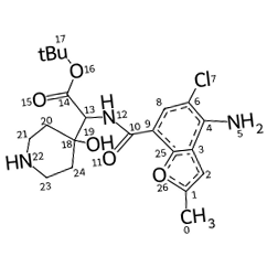 Cc1cc2c(N)c(Cl)cc(C(=O)NC(C(=O)OC(C)(C)C)C3(O)CCNCC3)c2o1